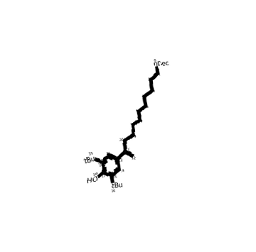 CCCCCCCCCCCCCCCCCCCCC(C)c1cc(C(C)(C)C)c(O)c(C(C)(C)C)c1